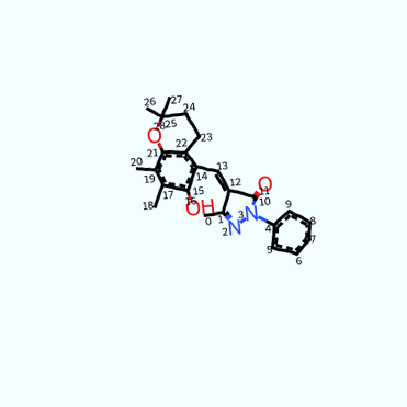 CC1=NN(c2ccccc2)C(=O)/C1=C/c1c(O)c(C)c(C)c2c1CCC(C)(C)O2